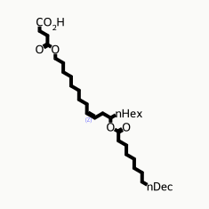 CCCCCCCCCCCCCCCCCC(=O)OC(C/C=C\CCCCCCCCOC(=O)CCC(=O)O)CCCCCC